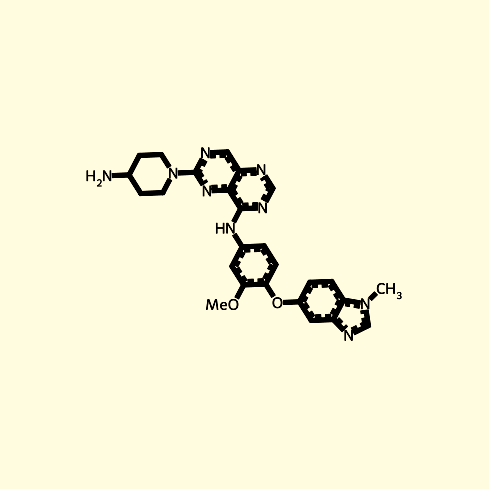 COc1cc(Nc2ncnc3cnc(N4CCC(N)CC4)nc23)ccc1Oc1ccc2c(c1)ncn2C